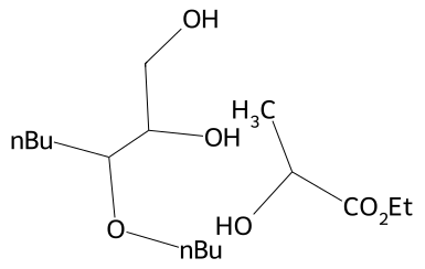 CCCCOC(CCCC)C(O)CO.CCOC(=O)C(C)O